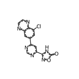 O=c1[nH]c(-c2cc(-c3cc(Cl)c4nccnc4c3)ncn2)no1